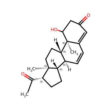 CC(=O)[C@H]1CC[C@H]2[C@@H]3C=CC4=CC(=O)CC(O)[C@]4(C)[C@H]3CC[C@]12C